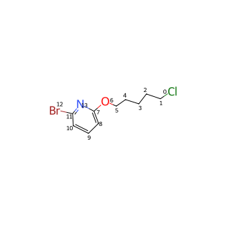 ClCCCCCOc1cccc(Br)n1